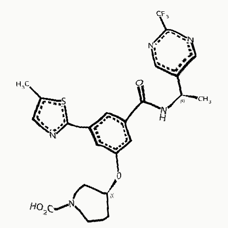 Cc1cnc(-c2cc(O[C@H]3CCN(C(=O)O)C3)cc(C(=O)N[C@H](C)c3cnc(C(F)(F)F)nc3)c2)s1